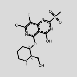 CS(=O)(=O)c1nc(O)c2c(O[C@@H]3CCCN[C@@H]3CO)nc(Cl)c(F)c2n1